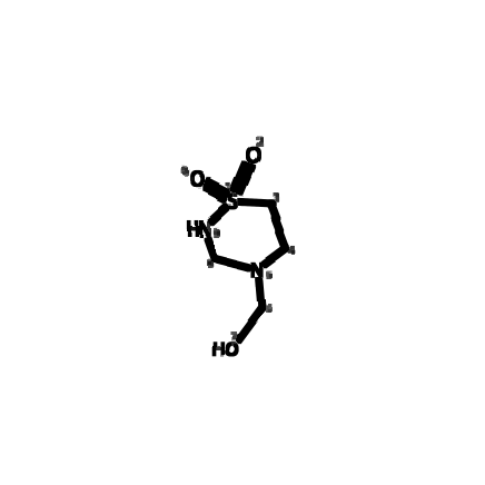 O=S1(=O)CCN(CO)CN1